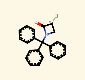 O=C1[C@H](Cl)CN1C(c1ccccc1)(c1ccccc1)c1ccccc1